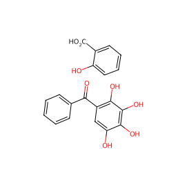 O=C(O)c1ccccc1O.O=C(c1ccccc1)c1cc(O)c(O)c(O)c1O